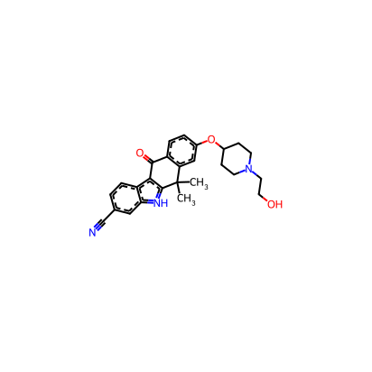 CC1(C)c2cc(OC3CCN(CCO)CC3)ccc2C(=O)c2c1[nH]c1cc(C#N)ccc21